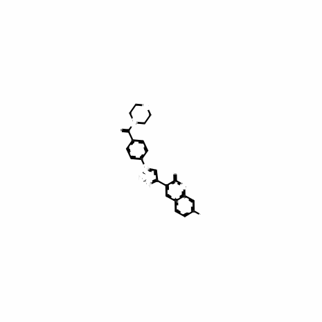 O=C(c1ccc(-n2cc(-c3cc4ccc(Cl)cc4[nH]c3=O)nn2)cc1)N1CCOCC1